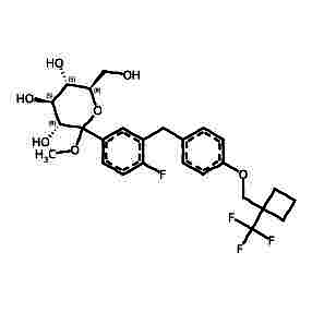 COC1(c2ccc(F)c(Cc3ccc(OCC4(C(F)(F)F)CCC4)cc3)c2)O[C@H](CO)[C@@H](O)[C@H](O)[C@H]1O